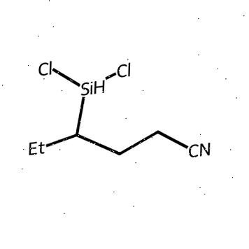 CCC(CCC#N)[SiH](Cl)Cl